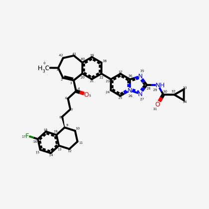 CC1C=C(C(=O)CCC[C@H]2CCCc3ccc(F)cc32)c2cc(-c3ccn4nc(NC(=O)C5CC5)nc4c3)ccc2CC1